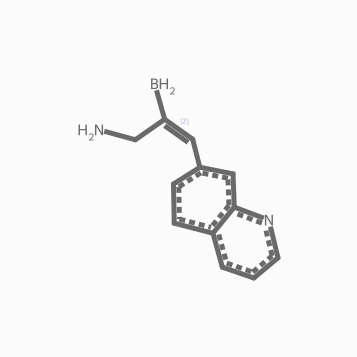 B/C(=C/c1ccc2cccnc2c1)CN